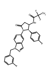 CC(F)(F)C(=O)NC1CC(=O)N(c2ccc3c(cnn3Cc3cccc(F)c3)c2)[C@@H]1c1ccc(F)cc1